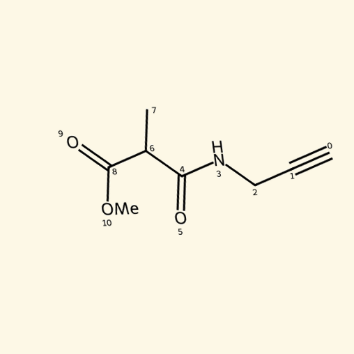 C#CCNC(=O)C(C)C(=O)OC